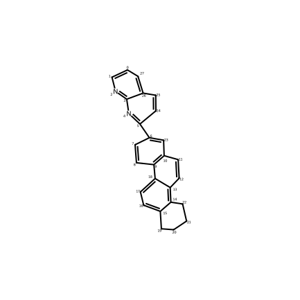 c1cnc2nc(-c3ccc4c(ccc5c6c(ccc54)CCCC6)c3)ccc2c1